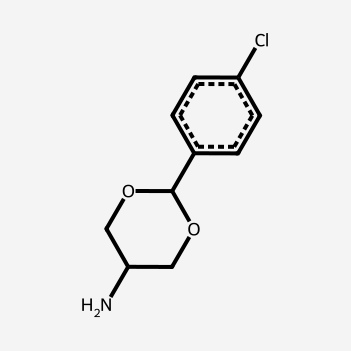 NC1COC(c2ccc(Cl)cc2)OC1